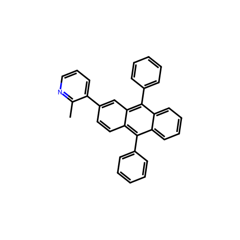 Cc1ncccc1-c1ccc2c(-c3ccccc3)c3ccccc3c(-c3ccccc3)c2c1